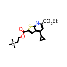 CCOC(=O)c1cc(C2CC2)c2cc(C(=O)OCC[Si](C)(C)C)sc2n1